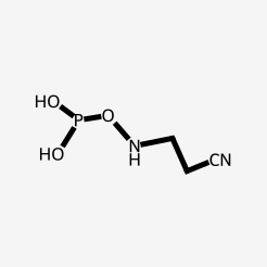 N#CCCNOP(O)O